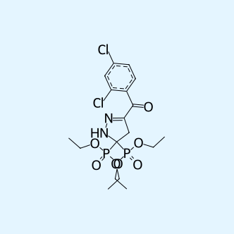 CCOP(=O)(OCC)C1(P(=O)(OCC)OCC)CC(C(=O)c2ccc(Cl)cc2Cl)=NN1